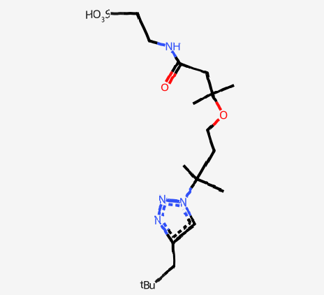 CC(C)(C)Cc1cn(C(C)(C)CCOC(C)(C)CC(=O)NCCS(=O)(=O)O)nn1